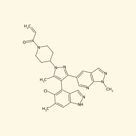 C=CC(=O)N1CCC(n2nc(-c3cnc4c(cnn4C)c3)c(-c3c(Cl)c(C)cc4[nH]ncc34)c2C)CC1